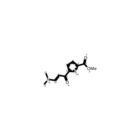 COC(=O)c1ccc(C(=O)C=CN(C)C)s1